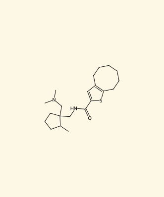 CC1CCCC1(CNC(=O)c1cc2c(s1)CCCCCC2)CN(C)C